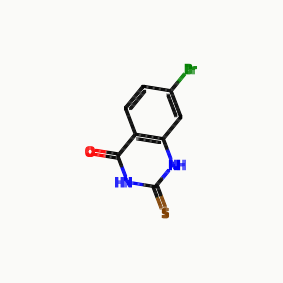 O=c1[nH]c(=S)[nH]c2cc(Br)ccc12